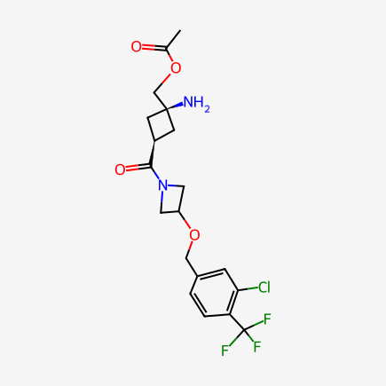 CC(=O)OC[C@]1(N)C[C@@H](C(=O)N2CC(OCc3ccc(C(F)(F)F)c(Cl)c3)C2)C1